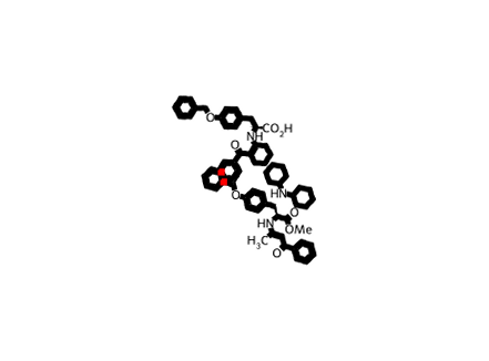 C1CCC(NC2CCCCC2)CC1.COC(=O)[C@H](Cc1ccc(OCc2ccccc2)cc1)NC(C)=CC(=O)c1ccccc1.O=C(C1=C(N[C@@H](Cc2ccc(OCc3ccccc3)cc2)C(=O)O)CCCC1)c1ccccc1